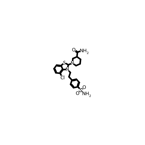 NC(=O)C1CCCN(C2Sc3cccc(Cl)c3N2CCc2ccc(S(N)(=O)=O)cc2)C1